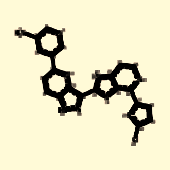 Nc1cncc(-c2ccc3[nH]nc(-c4nc5c(-c6ccc(Cl)s6)nccc5[nH]4)c3n2)c1